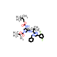 CC(C)(C)OC(=O)N1CC(CN[C@@H](c2nc(-c3cc(F)ccc3F)cn2Cc2ccccc2)C(C)(C)C)C(NC(=O)OCC[Si](C)(C)C)C1